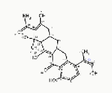 C/C(=N/O)c1ccc(O)c2c1CC1CC3CC(O)=C(C(N)=O)C(C)(O)C3C(O)=C1C2=O